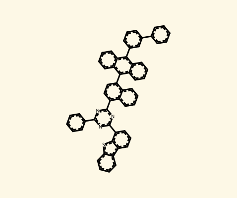 c1ccc(-c2cccc(-c3c4ccccc4c(-c4ccc(-c5nc(-c6ccccc6)nc(-c6cccc7c6sc6ccccc67)n5)c5ccccc45)c4ccccc34)c2)cc1